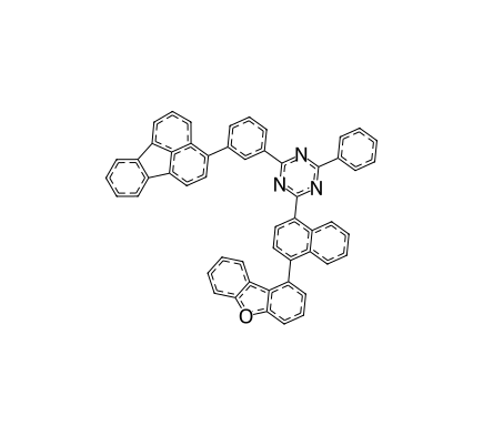 c1ccc(-c2nc(-c3cccc(-c4ccc5c6c(cccc46)-c4ccccc4-5)c3)nc(-c3ccc(-c4cccc5oc6ccccc6c45)c4ccccc34)n2)cc1